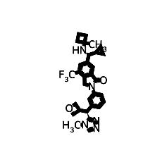 Cn1cnnc1[C@@H](c1cccc(N2Cc3c(cc([C@H](NC4(C)CCC4)C4CC4)cc3C(F)(F)F)C2=O)c1)C1COC1